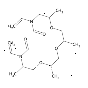 C=CN(C=O)CC(C)OCC(C)OCC(C)OCC(C)N(C=C)C=O